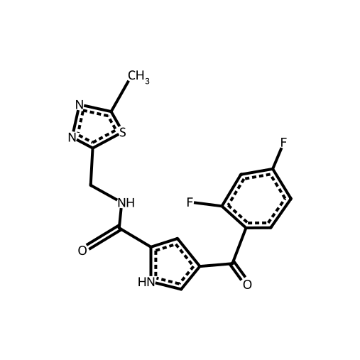 Cc1nnc(CNC(=O)c2cc(C(=O)c3ccc(F)cc3F)c[nH]2)s1